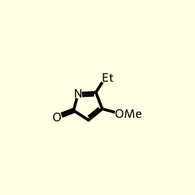 CCC1=NC(=O)C=C1OC